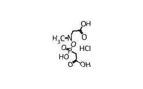 CN(CC(=O)O)OP(=O)(O)CC(=O)O.Cl